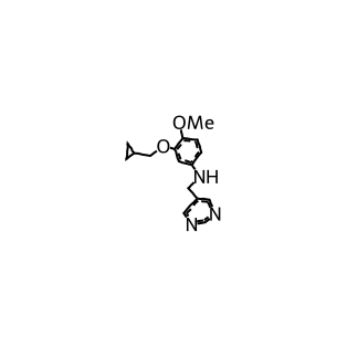 COc1ccc(NCc2cncnc2)cc1OCC1CC1